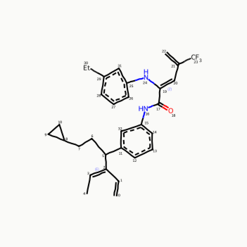 C=C/C(=C\C)C(CCC1CC1)c1cccc(NC(=O)/C(=C/C(=C)C(F)(F)F)Nc2cccc(CC)c2)c1